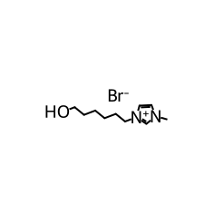 Cn1cc[n+](CCCCCCO)c1.[Br-]